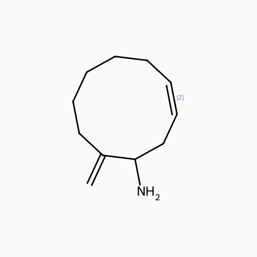 C=C1CCCCC/C=C\CC1N